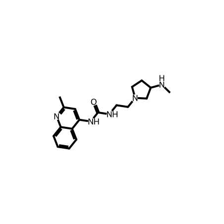 CNC1CCN(CCNC(=O)Nc2cc(C)nc3ccccc23)C1